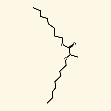 CCCCCCCCOC(=O)C(C)OCCCCCCCC